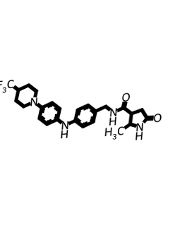 CC1NC(=O)CC1C(=O)NCc1ccc(Nc2ccc(N3CCC(C(F)(F)F)CC3)cc2)cc1